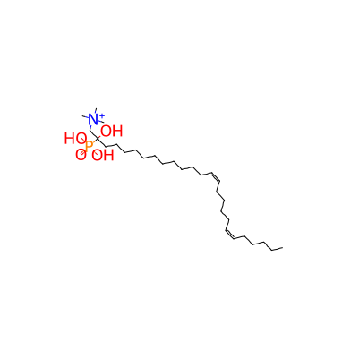 CCCCC/C=C\CCCC/C=C\CCCCCCCCCCCC(O)(C[N+](C)(C)C)P(=O)(O)O